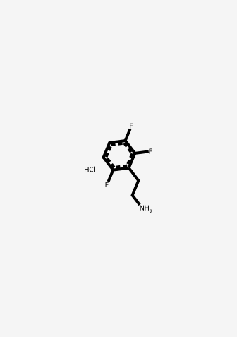 Cl.NCCc1c(F)ccc(F)c1F